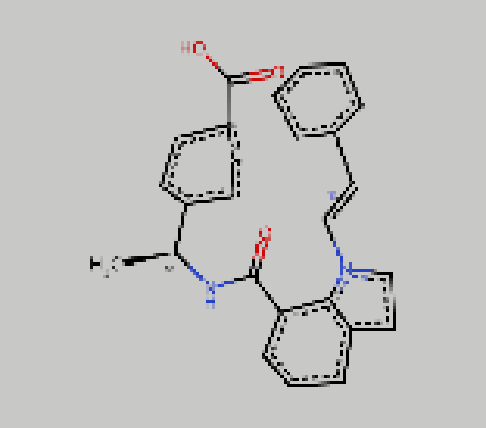 C[C@H](NC(=O)c1cccc2ccn(/C=C/c3ccccc3)c12)c1ccc(C(=O)O)cc1